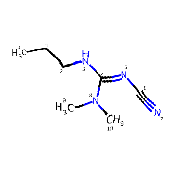 CCCN/C(=N/C#N)N(C)C